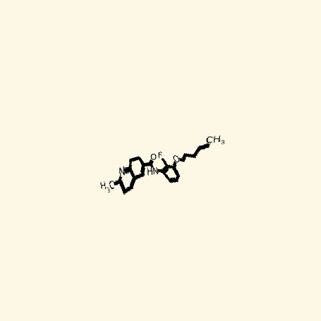 CC=CCCCOc1cccc(NC(=O)c2ccc3nc(C)ccc3c2)c1F